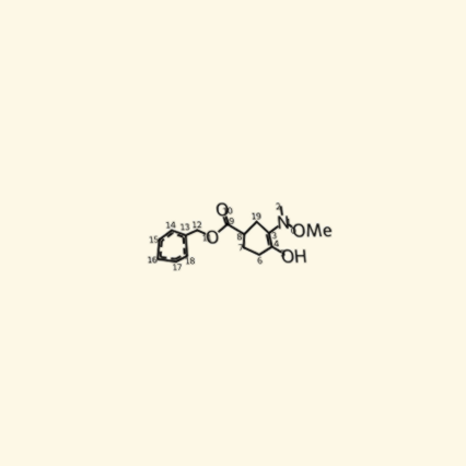 CON(C)C1=C(O)CCC(C(=O)OCc2ccccc2)C1